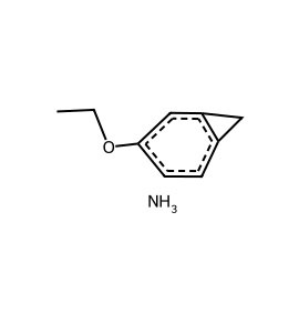 CCOc1ccc2c(c1)C2.N